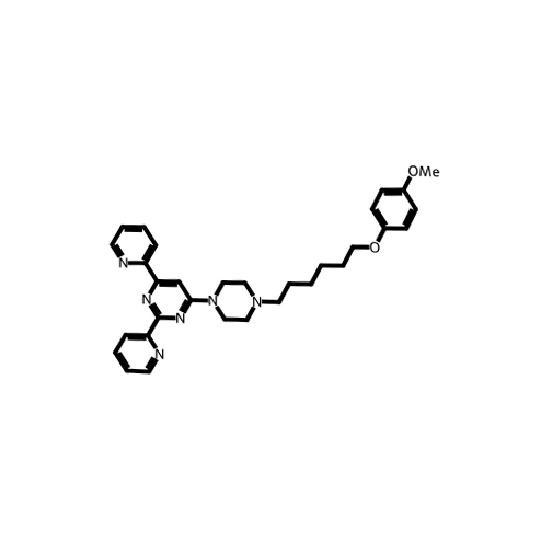 COc1ccc(OCCCCCCN2CCN(c3cc(-c4ccccn4)nc(-c4ccccn4)n3)CC2)cc1